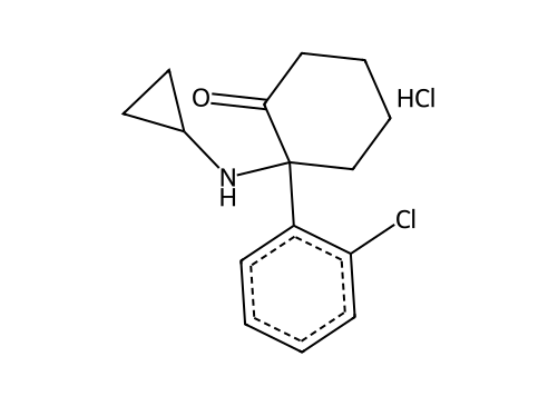 Cl.O=C1CCCCC1(NC1CC1)c1ccccc1Cl